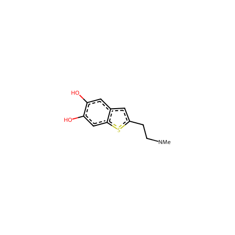 CNCCc1cc2cc(O)c(O)cc2s1